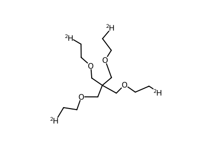 [2H]CCOCC(COCC[2H])(COCC[2H])COCC[2H]